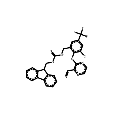 O=Cc1nccnc1Sc1c(Cl)cc(C(F)(F)F)cc1CNC(=O)OCC1c2ccccc2-c2ccccc21